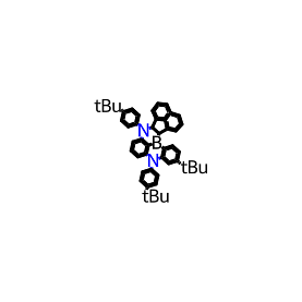 CC(C)(C)c1ccc(N2c3cc(C(C)(C)C)ccc3B3c4c2cccc4N(c2ccc(C(C)(C)C)cc2)C2c4cccc5cccc(c45)C32)cc1